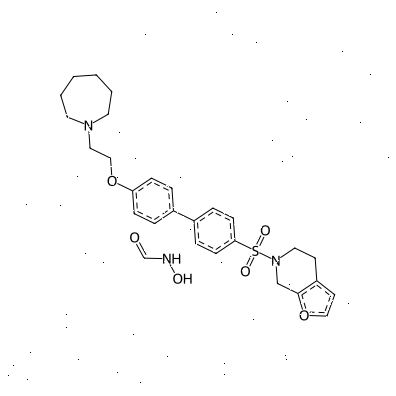 O=CNO.O=S(=O)(c1ccc(-c2ccc(OCCN3CCCCCC3)cc2)cc1)N1CCc2ccoc2C1